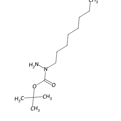 CCCCCCCCN(N)C(=O)OC(C)(C)C